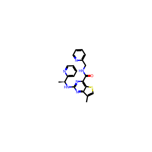 Cc1csc2c(C(=O)NCc3ccccn3)nc(N[C@@H](C)c3ccccn3)nc12